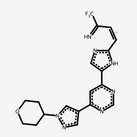 N=C(/C=C\c1ncc(-c2cc(-c3cnn(C4CCOCC4)c3)ncn2)[nH]1)C(F)(F)F